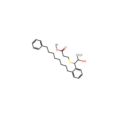 CC(C)OC(=O)CCS[C@H](c1ccccc1CCCCCCCCc1ccccc1)C(O)C(=O)O